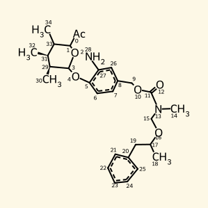 CC(=O)C1OC(Oc2ccc(COC(=O)N(C)COC(C)Cc3ccccc3)cc2N)[C@@H](C)[C@@H](C)C1C